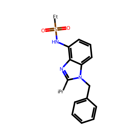 CCS(=O)(=O)Nc1cccc2c1nc(C(C)C)n2Cc1ccccc1